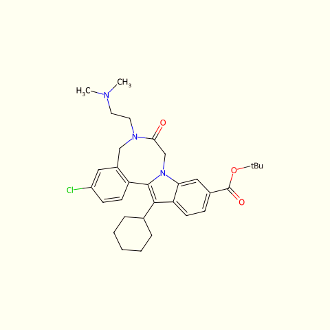 CN(C)CCN1Cc2cc(Cl)ccc2-c2c(C3CCCCC3)c3ccc(C(=O)OC(C)(C)C)cc3n2CC1=O